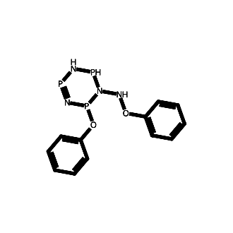 c1ccc(ONn2[pH][nH]pnp2Oc2ccccc2)cc1